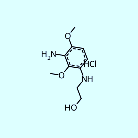 COc1ccc(NCCO)c(OC)c1N.Cl